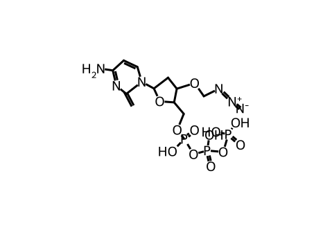 C=C1N=C(N)C=CN1C1CC(OCN=[N+]=[N-])C(COP(=O)(O)OP(=O)(O)OP(=O)(O)O)O1